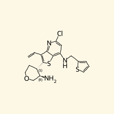 C=Cc1c([C@H]2CCOC[C@@H]2N)sc2c(NCc3cccs3)cc(Cl)nc12